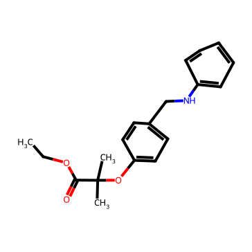 CCOC(=O)C(C)(C)Oc1ccc(CNc2ccccc2)cc1